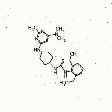 CCc1cccc(CC)c1NC(=S)N[C@H]1CC[C@@H](Nc2cc(N(C)C)nc(C)n2)CC1